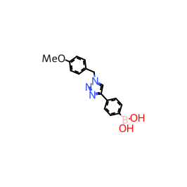 COc1ccc(Cn2cc(-c3ccc(B(O)O)cc3)nn2)cc1